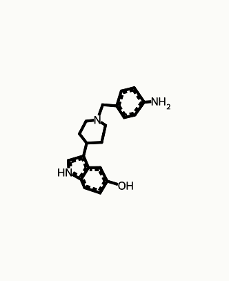 Nc1ccc(CN2CCC(c3c[nH]c4ccc(O)cc34)CC2)cc1